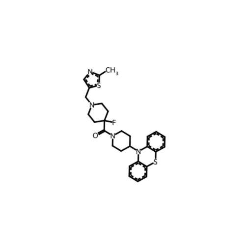 Cc1ncc(CN2CCC(F)(C(=O)N3CCC(N4c5ccccc5Sc5ccccc54)CC3)CC2)s1